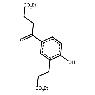 CCOC(=O)CCC(=O)c1ccc(O)c(CCC(=O)OCC)c1